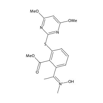 COC(=O)c1c(Sc2nc(OC)cc(OC)n2)cccc1C(C)=[N+](C)O